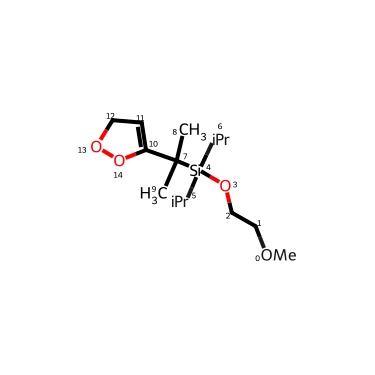 COCCO[Si](C(C)C)(C(C)C)C(C)(C)C1=CCOO1